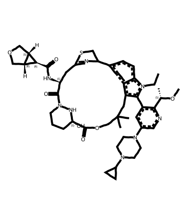 CCn1c(-c2cc(N3CCN(C4CC4)CC3)cnc2[C@H](C)OC)c2c3cc(ccc31)C1CSC(=N1)C[C@H](NC(=O)[C@H]1[C@@H]3COC[C@@H]31)C(=O)N1CCC[C@@](O)(N1)C(=O)OCC(C)(C)C2